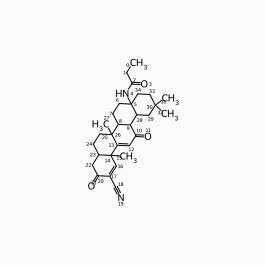 CCC(=O)NC12CCC3C(C(=O)C=C4C5(C)C=C(C#N)C(=O)CC5CCC43C)C1CC(C)(C)CC2